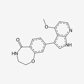 COc1ccnc2[nH]cc(-c3ccc4c(c3)OCCNC4=O)c12